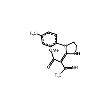 COC(=O)/C(C(=N)C(F)(F)F)=C1/NCCN1c1ccc(C(F)(F)F)cc1